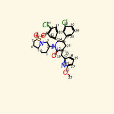 CCC(CN1CCCS1(=O)=O)N1C(=O)[C@](C)(Cc2cccc(OC)n2)C[C@H](c2cccc(Cl)c2)[C@H]1c1ccc(Cl)cc1